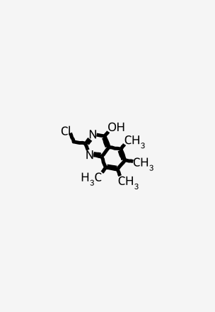 Cc1c(C)c(C)c2c(O)nc(CCl)nc2c1C